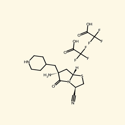 N#C[C@@H]1CS[C@H]2C[C@](N)(CC3CCNCC3)C(=O)N12.O=C(O)C(F)(F)F.O=C(O)C(F)(F)F